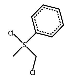 CS(Cl)(CCl)c1ccccc1